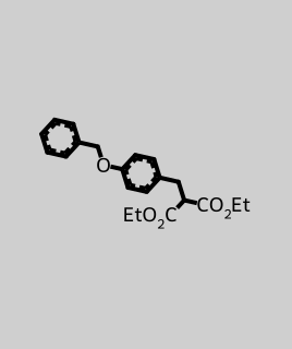 CCOC(=O)C(Cc1ccc(OCc2ccccc2)cc1)C(=O)OCC